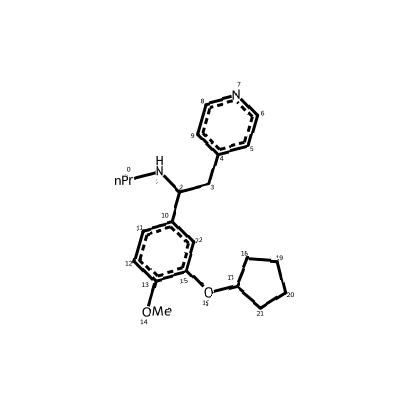 CCCNC(Cc1ccncc1)c1ccc(OC)c(OC2CCCC2)c1